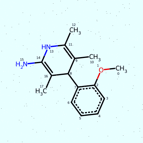 COc1ccccc1C1C(C)=C(C)NC(N)=C1C